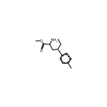 CCC(CC(N)C(=O)OC)c1ccc(C)cc1